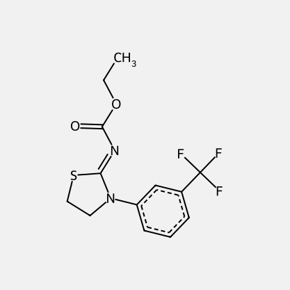 CCOC(=O)N=C1SCCN1c1cccc(C(F)(F)F)c1